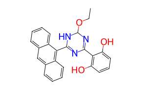 CCOC1N=C(c2c(O)cccc2O)N=C(c2c3ccccc3cc3ccccc23)N1